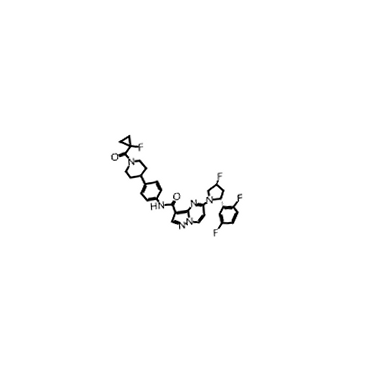 O=C(Nc1ccc(C2CCN(C(=O)C3(F)CC3)CC2)cc1)c1cnn2ccc(N3C[C@@H](F)C[C@@H]3c3cc(F)ccc3F)nc12